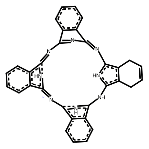 C1=CCc2c3[nH]c(c2C1)N=C1N=C(N=c2[nH]/c(c4ccccc24)=N\c2[nH]c(c4ccccc24)N3)c2ccccc21